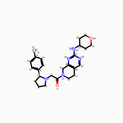 O=C(CN1CCC[C@H]1c1ccc(C(F)(F)F)cc1)N1CCc2cnc(NC3CCOCC3)nc2C1